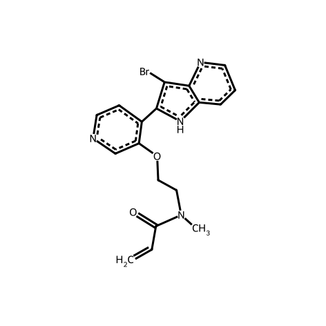 C=CC(=O)N(C)CCOc1cnccc1-c1[nH]c2cccnc2c1Br